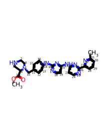 COC(=O)C1CNCCN1Cc1ccc(Nc2nccc(Nc3ccnc(-c4cccc(C)n4)n3)n2)cc1